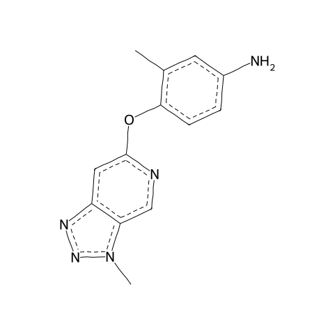 Cc1cc(N)ccc1Oc1cc2nnn(C)c2cn1